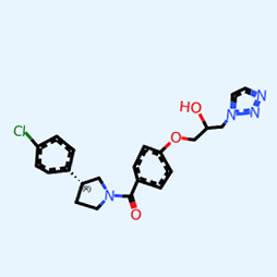 O=C(c1ccc(OCC(O)Cn2ccnn2)cc1)N1CC[C@H](c2ccc(Cl)cc2)C1